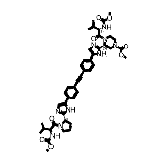 COC(=O)NC(C(=O)N1CCC[C@H]1c1ncc(-c2ccc(C#Cc3ccc(-c4cnc([C@@H]5CN(C(=O)OC)CCN5C(=O)[C@@H](NC(=O)OC)C(C)C)[nH]4)cc3)cc2)[nH]1)C(C)C